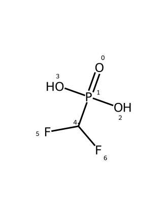 O=P(O)(O)[C](F)F